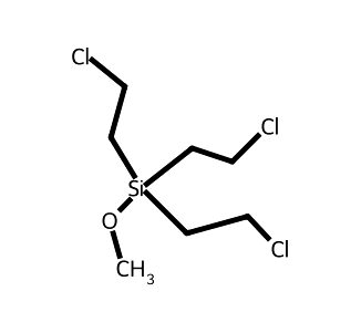 CO[Si](CCCl)(CCCl)CCCl